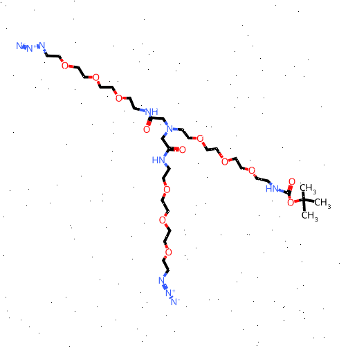 CC(C)(C)OC(=O)NCCOCCOCCOCCN(CC(=O)NCCOCCOCCOCCN=[N+]=[N-])CC(=O)NCCOCCOCCOCCN=[N+]=[N-]